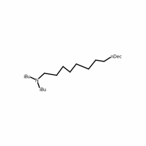 CCCCCCCCCCCCCCCCCCN(C(C)CC)C(C)CC